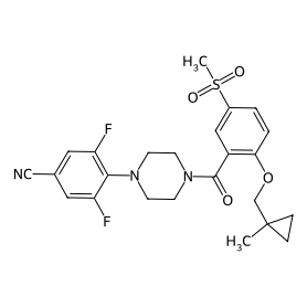 CC1(COc2ccc(S(C)(=O)=O)cc2C(=O)N2CCN(c3c(F)cc(C#N)cc3F)CC2)CC1